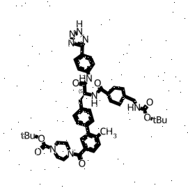 Cc1ccc(C(=O)N2CCN(C(=O)OC(C)(C)C)CC2)cc1-c1ccc(C[C@H](NC(=O)C2CCC(CNC(=O)OC(C)(C)C)CC2)C(=O)Nc2ccc(-c3nn[nH]n3)cc2)cc1